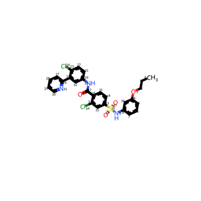 CCCOc1cccc(NS(=O)(=O)c2ccc(C(=O)Nc3ccc(Cl)c(-c4ccccn4)c3)c(Cl)c2)c1